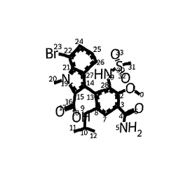 COc1c(C(N)=O)cc(CC(C)C)c(-c2c(C(=O)O)n(C)c3c(Br)cccc23)c1NS(C)(=O)=O